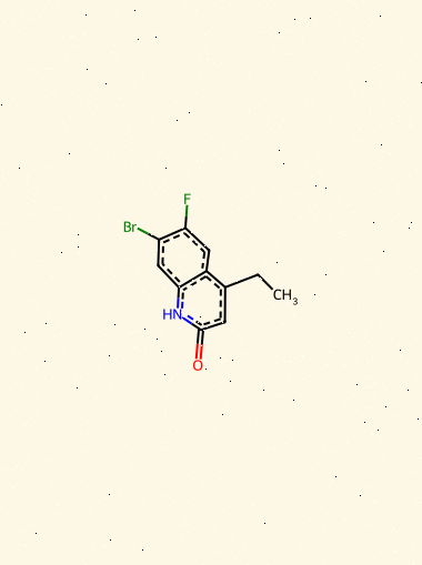 CCc1cc(=O)[nH]c2cc(Br)c(F)cc12